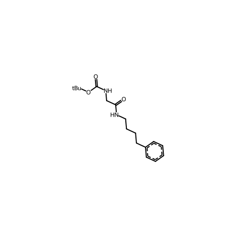 CC(C)(C)OC(=O)NCC(=O)NCCCCc1ccccc1